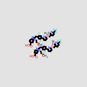 COCCn1c(Cc2cc(F)c(-c3cccc(OCc4ccc(C(F)(F)F)nc4C)n3)cc2F)nc2ccc(C(=O)O)cc21.COCCn1c(Cc2cc(F)c(-c3cccc(OCc4ccc(C(F)(F)F)nc4C)n3)cc2F)nc2ccc(C(=O)O)cc21